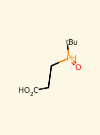 CC(C)(C)[PH](=O)CCC(=O)O